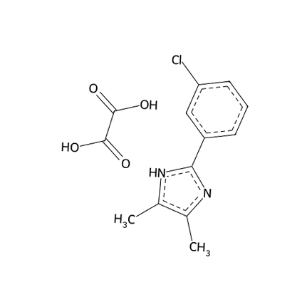 Cc1nc(-c2cccc(Cl)c2)[nH]c1C.O=C(O)C(=O)O